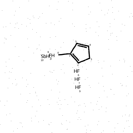 CC1=CCC=C1.F.F.F.F.[SbH3]